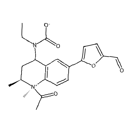 CCN(C(=O)[O-])C1C[C@H](C)[N@+](C)(C(C)=O)c2ccc(-c3ccc(C=O)o3)cc21